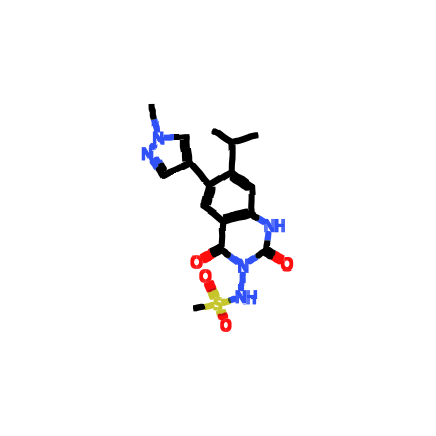 CC(C)c1cc2[nH]c(=O)n(NS(C)(=O)=O)c(=O)c2cc1-c1cnn(C)c1